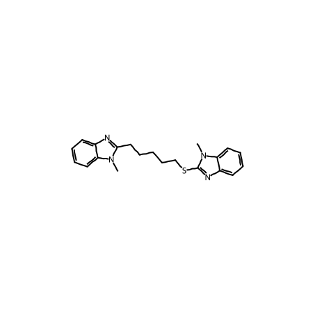 Cn1c(CCCCCSc2nc3ccccc3n2C)nc2ccccc21